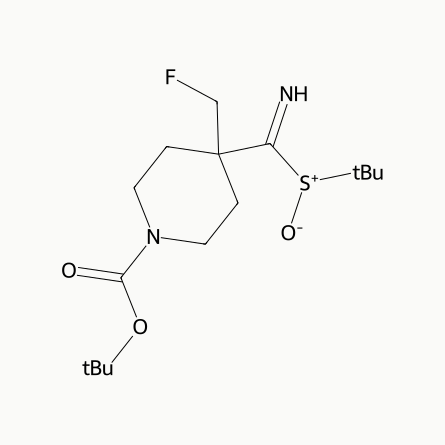 CC(C)(C)OC(=O)N1CCC(CF)(C(=N)[S+]([O-])C(C)(C)C)CC1